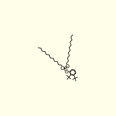 CCCCCCCCCCCCOP(OCCCCCCCCCCCC)Oc1cccc(C(C)(C)C)c1C(C)(C)C